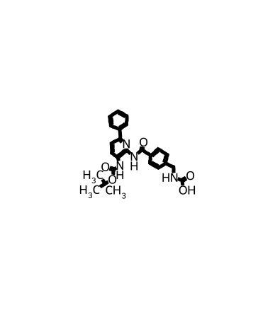 CC(C)(C)OC(=O)Nc1ccc(-c2ccccc2)nc1NC(=O)c1ccc(CNC(=O)O)cc1